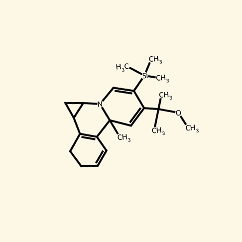 COC(C)(C)C1=CC2(C)C3=C(CCC=C3)C3CC3N2C=C1[Si](C)(C)C